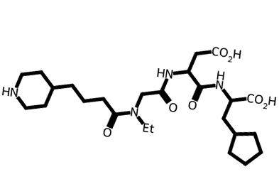 CCN(CC(=O)NC(CC(=O)O)C(=O)NC(CC1CCCC1)C(=O)O)C(=O)CCCC1CCNCC1